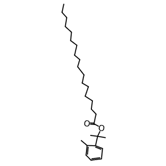 CCCCCCCCCCCCCCCCCC(=O)OC(C)(C)c1ccccc1C